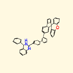 c1ccc(C2NC(c3ccc(-c4cccc(-c5ccc6c(c5)C5(c7ccccc7Oc7ccccc75)c5ccccc5-6)c4)cc3)=Nc3ccccc32)cc1